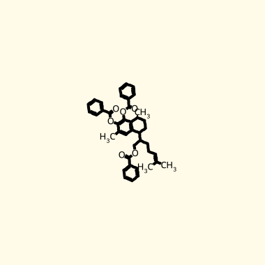 CC(C)=CCCC(COC(=O)c1ccccc1)C1CC[C@@H](C)c2c1cc(C)c(OC(=O)c1ccccc1)c2OC(=O)c1ccccc1